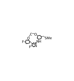 CSCc1cc2cc(c1)OCCCOc1cc(F)ccc1-c1nc(ncc1F)N2